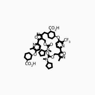 Cc1nc(-c2onc(CC3CC[C@H](Oc4ccc(-c5onc(C)c5COC(=O)N(C)C5CCCC5)nc4C(F)(F)F)C[C@H]3C(=O)O)c2COC(=O)N(C)C2CCCC2)ccc1O[C@H]1CCC[C@H](C(=O)O)C1